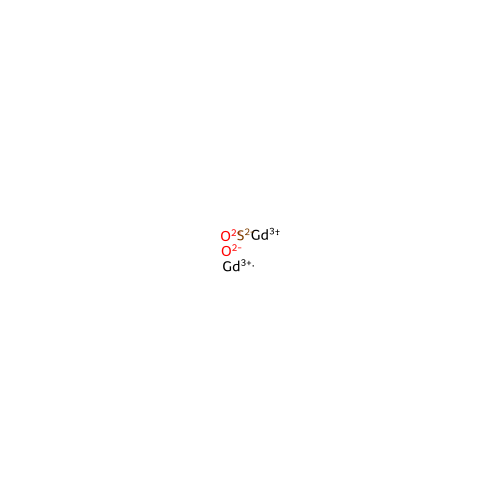 [Gd+3].[Gd+3].[O-2].[O-2].[S-2]